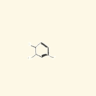 FC1=CC(Cl)C(F)C=[C]1